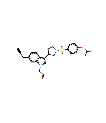 C#CCc1ccc2c(C3CCN(S(=O)(=O)c4ccc(OC(C)C)cc4)C3)cn(CC=O)c2c1